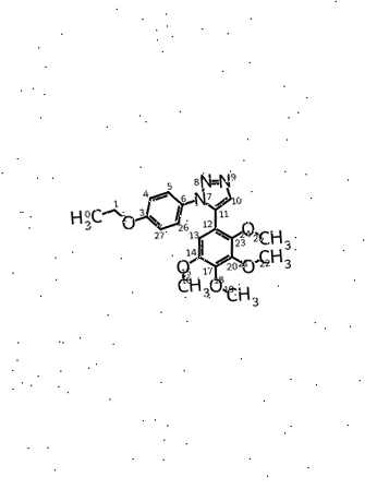 CCOc1ccc(-n2nncc2-c2cc(OC)c(OC)c(OC)c2OC)cc1